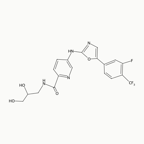 O=C(NCC(O)CO)c1ccc(Nc2ncc(-c3ccc(C(F)(F)F)c(F)c3)o2)cn1